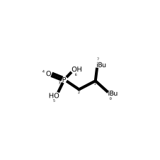 CCC(C)C(CP(=O)(O)O)C(C)CC